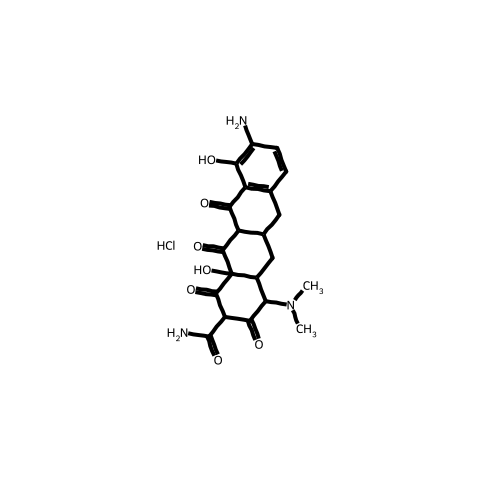 CN(C)C1C(=O)C(C(N)=O)C(=O)C2(O)C(=O)C3C(=O)c4c(ccc(N)c4O)CC3CC12.Cl